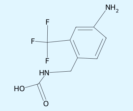 Nc1ccc(CNC(=O)O)c(C(F)(F)F)c1